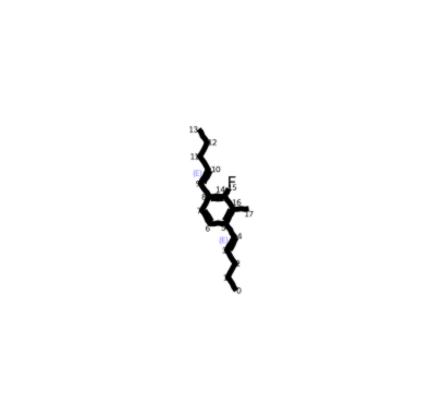 CCC/C=C/c1ccc(/C=C/CCC)c(F)c1C